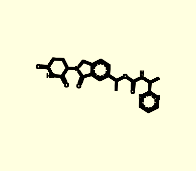 CC(NC(=O)OC(C)c1ccc2c(c1)C(=O)N(C1CCC(=O)NC1=O)C2)c1ncccn1